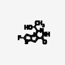 CC(O)c1n[nH]c(=O)c2cc3sc(F)cc3n12